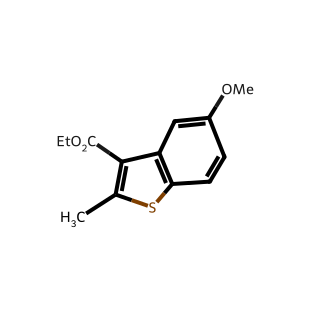 CCOC(=O)c1c(C)sc2ccc(OC)cc12